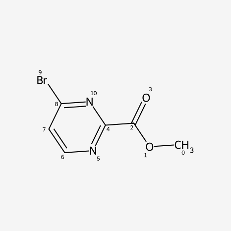 COC(=O)c1nccc(Br)n1